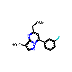 COCc1cc(-c2cccc(F)c2)n2ncc(C(=O)O)c2n1